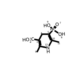 CC1=C(C(=O)O)CC(P(=O)(O)O)=C(C)N1